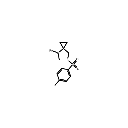 Cc1ccc(S(=O)(=O)SCC2(N(C)C(C)C)CC2)cc1